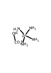 O=C(O)O.[NH2][Zn]([NH2])([NH2])[NH2]